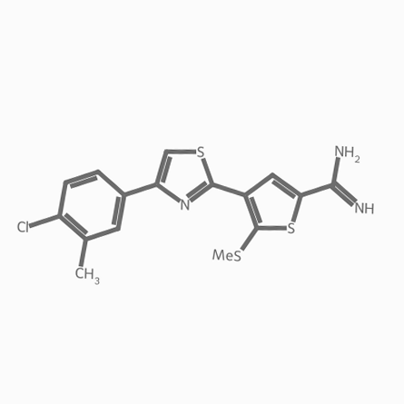 CSc1sc(C(=N)N)cc1-c1nc(-c2ccc(Cl)c(C)c2)cs1